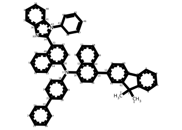 CC1(C)c2ccccc2-c2ccc(-c3ccc(N(c4ccc(-c5ccccc5)cc4)c4ccc(-c5nc6ccccc6n5C5C=CC=CC5)c5ccccc45)c4ccccc34)cc21